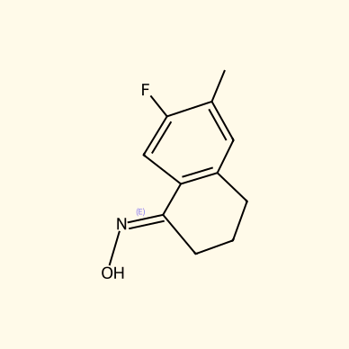 Cc1cc2c(cc1F)/C(=N/O)CCC2